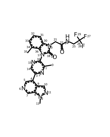 Cc1nc(-c2cncc3c2cnn3C)cnc1-n1c(=O)n(CC(=O)NCC(F)(F)F)c2cccc(C)c21